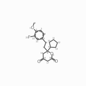 COc1ccc(CCC2(C3CCCC3)CC(=O)CC(=O)O2)cc1F